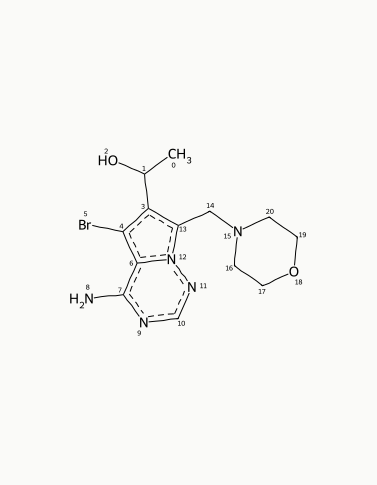 CC(O)c1c(Br)c2c(N)ncnn2c1CN1CCOCC1